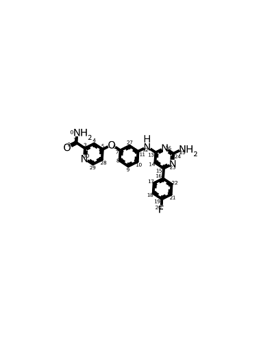 NC(=O)c1cc(Oc2cccc(Nc3cc(-c4ccc(F)cc4)nc(N)n3)c2)ccn1